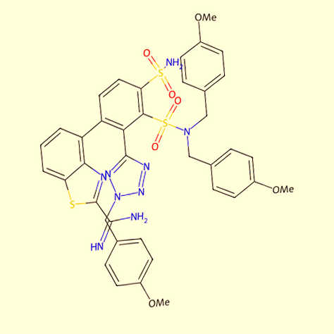 COc1ccc(CN(Cc2ccc(OC)cc2)S(=O)(=O)c2c(S(N)(=O)=O)ccc(-c3cccc4sc(C(=N)N)nc34)c2-c2nnn(Cc3ccc(OC)cc3)n2)cc1